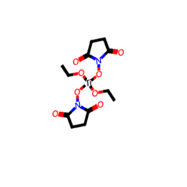 CC[O][Ti]([O]CC)([O]N1C(=O)CCC1=O)[O]N1C(=O)CCC1=O